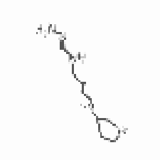 NN=CNCCCCNC1CC[N]C1